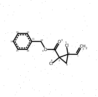 C=CC1(Cl)CC1(Cl)C(=O)OCc1ccccc1